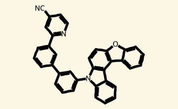 N#Cc1ccnc(-c2cccc(-c3cccc(-n4c5ccccc5c5c6c(ccc54)oc4ccccc46)c3)c2)c1